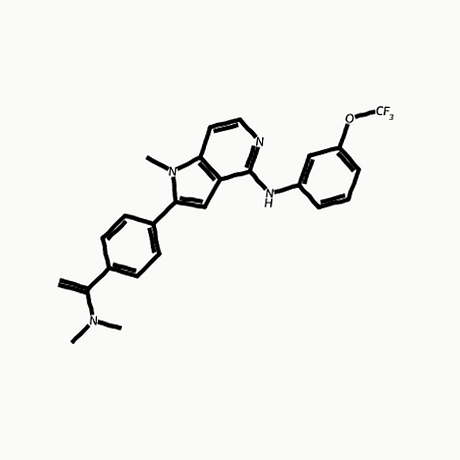 C=C(c1ccc(-c2cc3c(Nc4cccc(OC(F)(F)F)c4)nccc3n2C)cc1)N(C)C